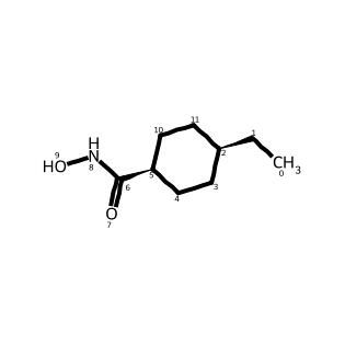 CC[C@H]1CC[C@@H](C(=O)NO)CC1